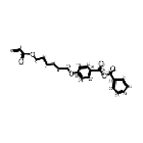 C=CC(=O)OCCCCCCOc1ccc(C(=O)OC(=O)c2ccccc2)cc1